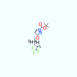 [2H]C([2H])(COc1ccn(C(=O)OC(C)(C)C)n1)CC1(C(F)(F)F)CC1